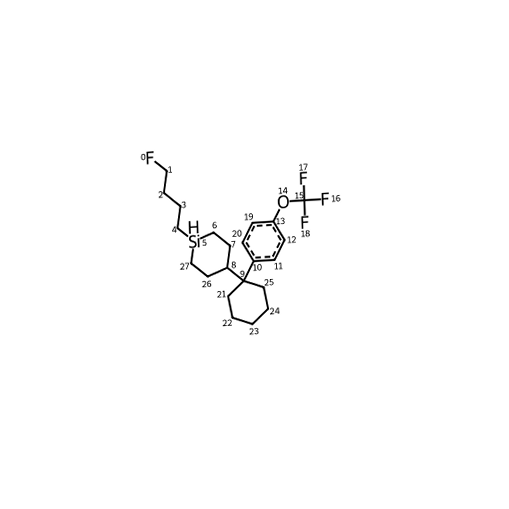 FCCCC[SiH]1CCC(C2(c3ccc(OC(F)(F)F)cc3)CCCCC2)CC1